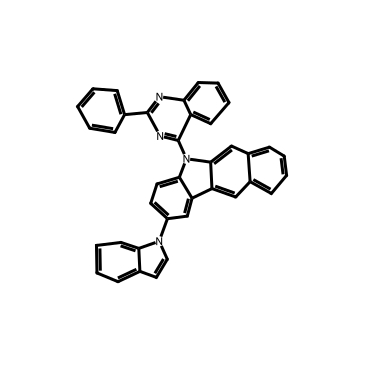 c1ccc(-c2nc(-n3c4ccc(-n5ccc6ccccc65)cc4c4cc5ccccc5cc43)c3ccccc3n2)cc1